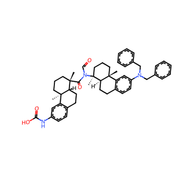 C[C@]1(N(C=O)C(=O)[C@@]2(C)CCC[C@]3(C)c4cc(NC(=O)O)ccc4CC[C@@H]23)CCC[C@]2(C)c3cc(N(Cc4ccccc4)Cc4ccccc4)ccc3CC[C@@H]12